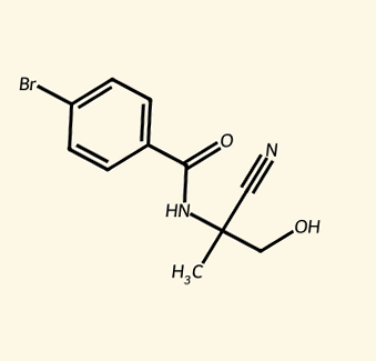 CC(C#N)(CO)NC(=O)c1ccc(Br)cc1